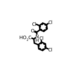 O=C(NC(Cc1ccc(Cl)cc1Cl)C(=O)O)c1ccc(Cl)cc1Cl